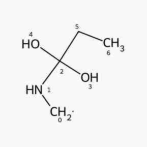 [CH2]NC(O)(O)CC